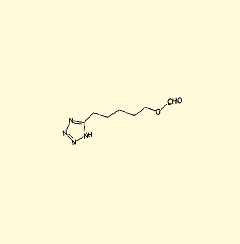 O=COCCCCCc1nnn[nH]1